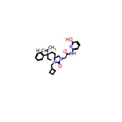 CN(C)[C@]1(c2ccccc2)CC[C@]2(CC1)CN(CC(=O)Nc1cccc(O)n1)C(=O)N2CC1CCC1